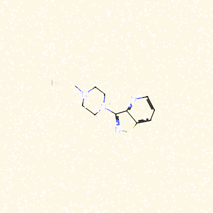 O=C(O)N1CCN(c2nsc3cccnc23)CC1